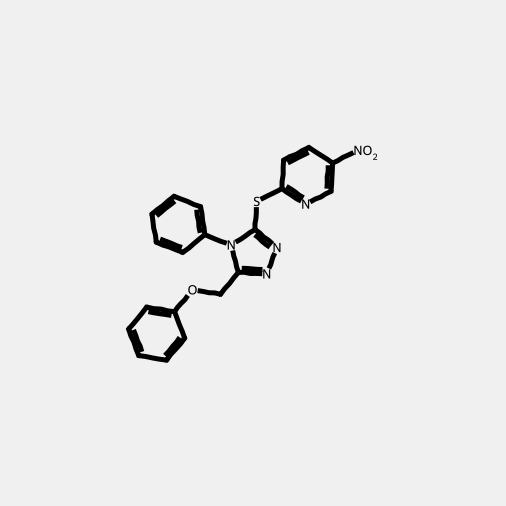 O=[N+]([O-])c1ccc(Sc2nnc(COc3ccccc3)n2-c2ccccc2)nc1